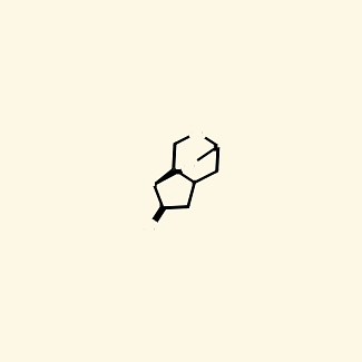 O=C1CC2CC3OCC2C1O3